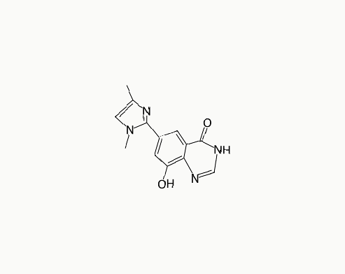 Cc1cn(C)c(-c2cc(O)c3nc[nH]c(=O)c3c2)n1